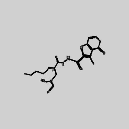 CCCCC[C@H](CN(O)C=O)C(=O)NNC(=O)c1oc2c(c1C)C(=O)CC=C2